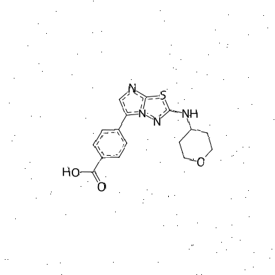 O=C(O)c1ccc(-c2cnc3sc(NC4CCOCC4)nn23)cc1